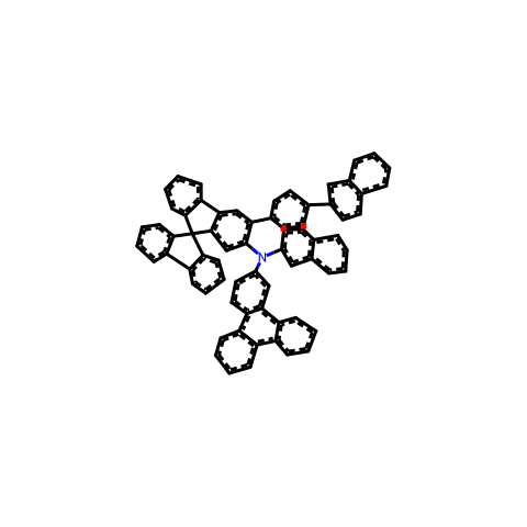 c1ccc2c(c1)-c1ccccc1C21c2ccccc2-c2cc(-c3ccc(-c4ccc5ccccc5c4)cc3)c(N(c3ccc4ccccc4c3)c3ccc4c5ccccc5c5ccccc5c4c3)cc21